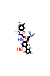 Cc1cc2c(cc1F)NCC(C(=O)Nc1cc(O)c(C3CCCC3)cc1C#CN(C)C)O2